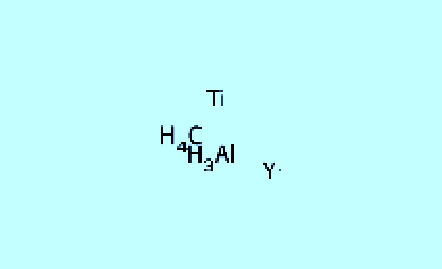 C.[AlH3].[Ti].[Y]